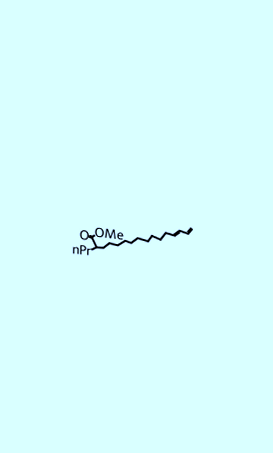 C=CC=CCCCCCCCCCCC(CCC)C(=O)OC